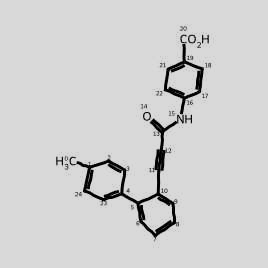 Cc1ccc(-c2ccccc2C#CC(=O)Nc2ccc(C(=O)O)cc2)cc1